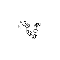 Cc1c(CN2CCN(c3nccnc3-c3ccc(-c4ncco4)cc3)CC2)cnn1C.Cl